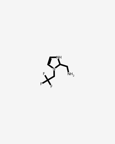 NCC1NC=CN1CC(F)(F)F